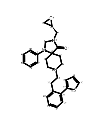 O=C1N(C[C@H]2CO2)CN(c2ccccc2)C12CCN(CCc1ccccc1-c1cccs1)CC2